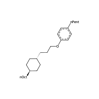 CCCCCCCC[C@H]1CC[C@H](CCCOc2ccc(CCCCC)cc2)CC1